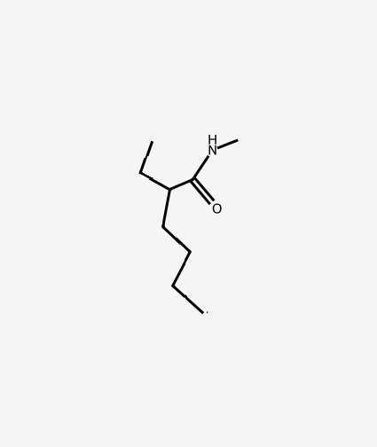 [CH2]CCCC(CC)C(=O)NC